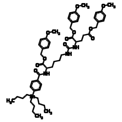 CCC[CH2][Sn]([CH2]CCC)([CH2]CCC)[c]1ccc(C(=O)NC(CCCCNC(=O)NC(CCC(=O)OCc2ccc(OC)cc2)C(=O)OCc2ccc(OC)cc2)C(=O)OCc2ccc(OC)cc2)cc1